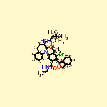 CCNC(=O)c1cc(N2C(=O)C(NC(=O)CC(C)(C)N)CCc3ccccc32)c(C)c(Br)c1-c1occ2ccccc12